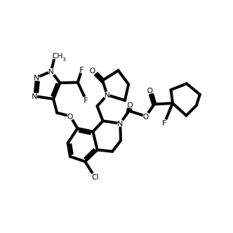 Cn1nnc(COc2ccc(Cl)c3c2C(CN2CCCC2=O)N(C(=O)OC(=O)C2(F)CCCCC2)CC3)c1C(F)F